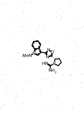 CNn1cc(-c2noc([C@@H]3CCCN3C(=N)N)n2)c2ccccc21